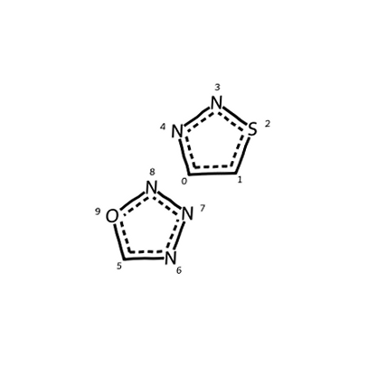 c1csnn1.c1nnno1